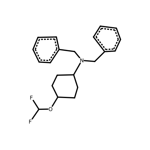 FC(F)OC1CCC(N(Cc2ccccc2)Cc2ccccc2)CC1